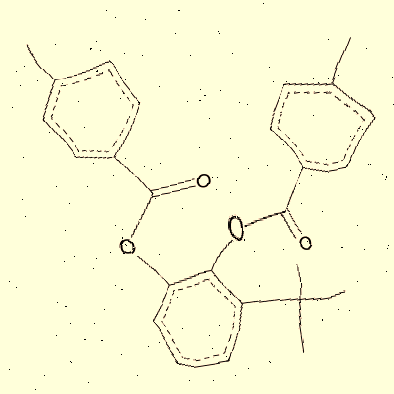 Cc1ccc(C(=O)Oc2cccc(C(C)(C)C)c2OC(=O)c2ccc(C)cc2)cc1